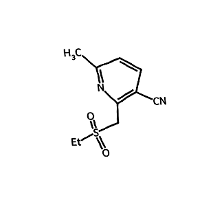 CCS(=O)(=O)Cc1nc(C)ccc1C#N